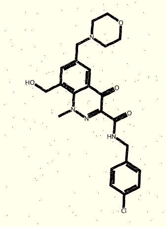 Cn1nc(C(=O)NCc2ccc(Cl)cc2)c(=O)c2cc(CN3CCOCC3)cc(CO)c21